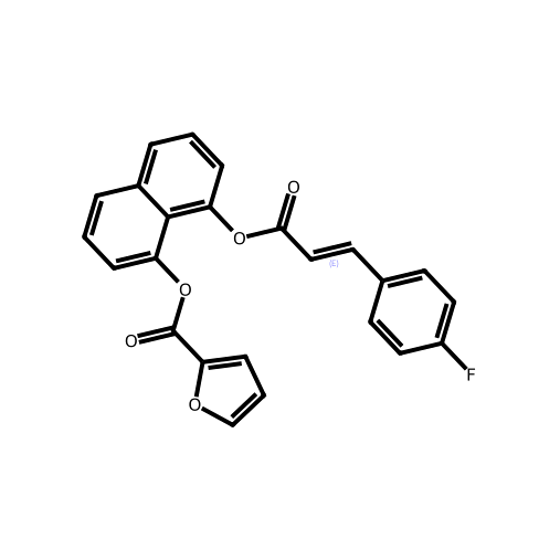 O=C(/C=C/c1ccc(F)cc1)Oc1cccc2cccc(OC(=O)c3ccco3)c12